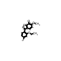 CCOc1cc(F)ccc1-c1noc2c(Cl)c(OC)ccc12